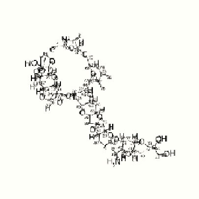 C=C1C[C@@H]2CC[C@@]34CC5(O)O[C@H]6[C@@H](O3)[C@H]3O[C@H](CC[C@@H]3O[C@H]6C5O4)CC(=O)O[C@@H]3CC4OC5C[C@]6(C[C@@H]7O[C@@]8(CC[C@@H]7O6)C[C@H](N)[C@@H]6O[C@@H]7C[C@@H]([C@@H](O)CO)O[C@@H]7C[C@@H]6O8)O[C@@H]5C[C@@H]4O[C@H]3C[C@H]3O[C@@H](CC[C@@H]1O2)C[C@@H](C)C3=C